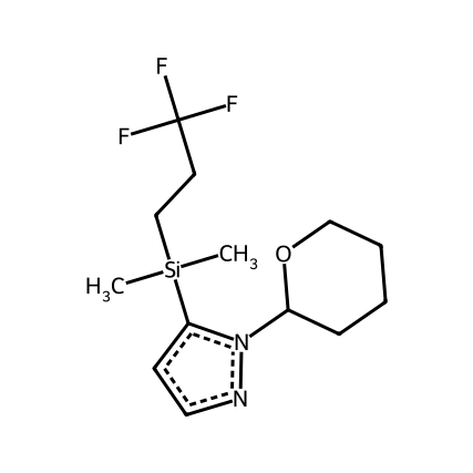 C[Si](C)(CCC(F)(F)F)c1ccnn1C1CCCCO1